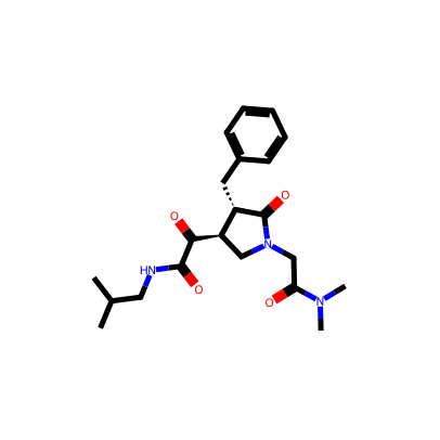 CC(C)CNC(=O)C(=O)[C@@H]1CN(CC(=O)N(C)C)C(=O)[C@H]1Cc1ccccc1